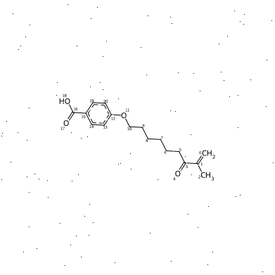 C=C(C)C(=O)CCCCCCOc1ccc(C(=O)O)cc1